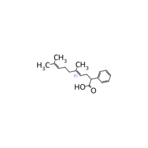 CC(C)=CCC/C(C)=C/CC(C(=O)O)c1ccccc1